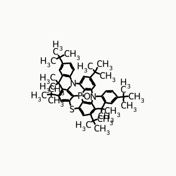 CC(C)(C)c1cc2c3c(c1)N1c4ccc(C(C)(C)C)cc4C(C)(C)c4c(C(C)(C)C)cc5c(c41)P3(=O)c1c(cc(C(C)(C)C)c3c1N2c1ccc(C(C)(C)C)cc1C3(C)C)S5